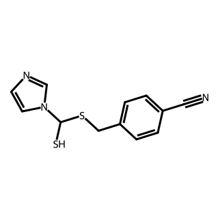 N#Cc1ccc(CSC(S)n2ccnc2)cc1